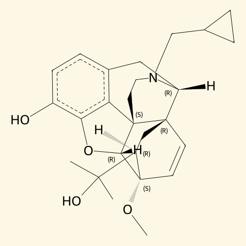 CO[C@@]12C=C[C@@]3(C[C@@H]1C(C)(C)O)[C@H]1Cc4ccc(O)c5c4[C@@]3(CCN1CC1CC1)[C@H]2O5